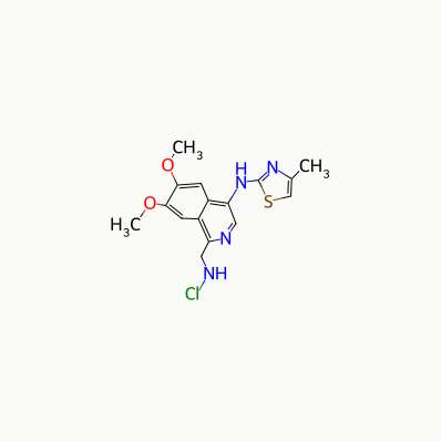 COc1cc2c(Nc3nc(C)cs3)cnc(CNCl)c2cc1OC